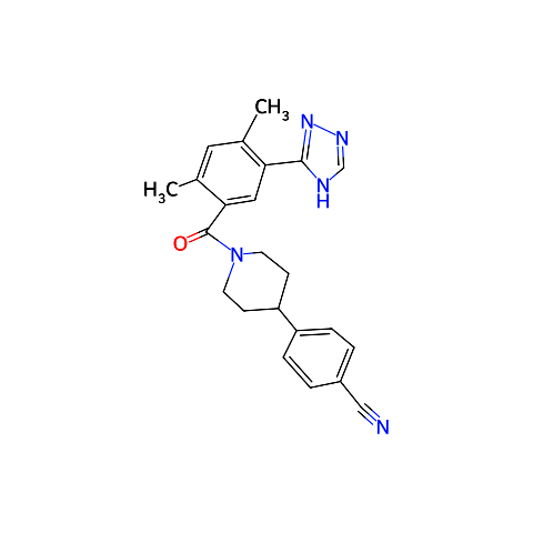 Cc1cc(C)c(-c2nnc[nH]2)cc1C(=O)N1CCC(c2ccc(C#N)cc2)CC1